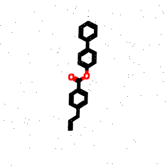 C=CCc1ccc(C(=O)Oc2ccc(-c3ccccc3)cc2)cc1